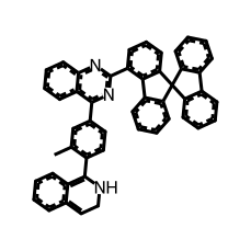 Cc1cc(-c2nc(-c3cccc4c3-c3ccccc3C43c4ccccc4-c4ccccc43)nc3ccccc23)ccc1C1=c2ccccc2=CCN1